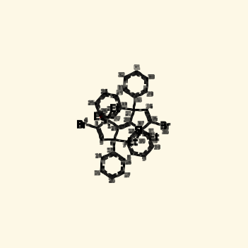 CC[Si]1(CC)C(Br)=CC(c2ccccc2)(c2ccccc2)C1=C1C(c2ccccc2)(c2ccccc2)C=C(Br)[Si]1(CC)CC